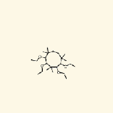 CCOC1C(OCC)C(C)(C)C(OCC)C(OCC)C(C)(C)CCC1(C)C